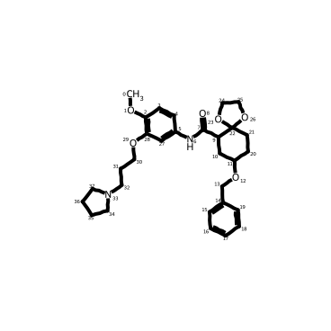 COc1ccc(NC(=O)C2CC(OCc3ccccc3)CCC23OCCO3)cc1OCCCN1CCCC1